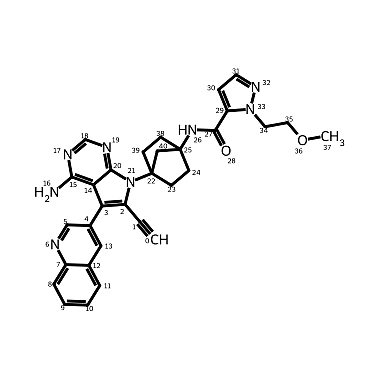 C#Cc1c(-c2cnc3ccccc3c2)c2c(N)ncnc2n1C12CCC(NC(=O)c3ccnn3CCOC)(CC1)C2